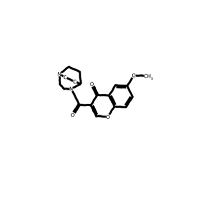 COc1ccc2occ(C(=O)N3CCN4CCC3CC4)c(=O)c2c1